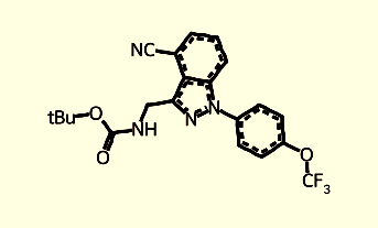 CC(C)(C)OC(=O)NCc1nn(-c2ccc(OC(F)(F)F)cc2)c2cccc(C#N)c12